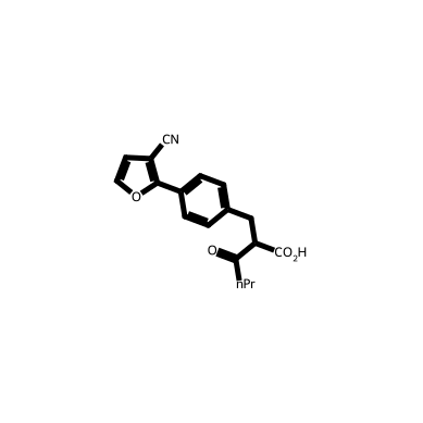 CCCC(=O)C(Cc1ccc(-c2occc2C#N)cc1)C(=O)O